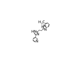 Cc1cccc2nc(CCc3nc(-c4cccnc4)c[nH]3)nn12